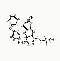 CC(C)(O)CCC1NN=C(Nc2ccc(Oc3ccccn3)cc2)N(Cc2ccc(Cl)cc2)C1=O